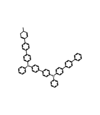 CC1C=CC(c2ccc(-c3ccc(N(c4ccccc4)c4ccc(-c5ccc(N(c6ccccc6)c6ccc(-c7ccc(-c8ccccc8)cc7)cc6)cc5)cc4)cc3)cc2)=CC1